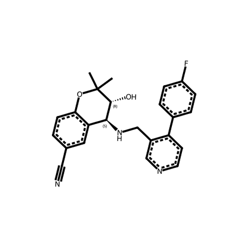 CC1(C)Oc2ccc(C#N)cc2[C@H](NCc2cnccc2-c2ccc(F)cc2)[C@H]1O